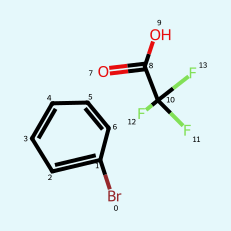 Brc1ccccc1.O=C(O)C(F)(F)F